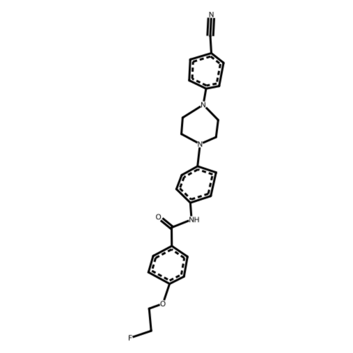 N#Cc1ccc(N2CCN(c3ccc(NC(=O)c4ccc(OCCF)cc4)cc3)CC2)cc1